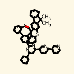 CC1(C)c2ccccc2-c2cc3c(cc21)Sc1ccccc1C31c2ccccc2-c2ccccc2-c2ccc(-c3nc(-c4ccccc4)cc(-c4ccc(-c5cccnc5)nc4)n3)cc21